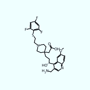 COc1ccc2ncc(CN)c([C@H](O)CCC3(CC(=O)O)CCN(CCSc4c(F)cc(F)cc4F)CC3)c2c1